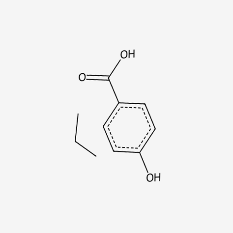 CCC.O=C(O)c1ccc(O)cc1